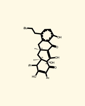 CCC(C)CCc1ccc(O)c2c1C[C@]1(C)C[C@]3(C)C(C(C)C)C(O)=C(C(C)=O)C(=O)[C@]3(O)C(O)=C1C2=O